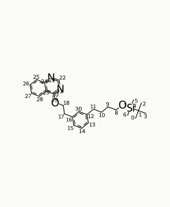 CC(C)(C)[Si](C)(C)OCCCCc1cccc(CCOc2ncnc3ccccc23)c1